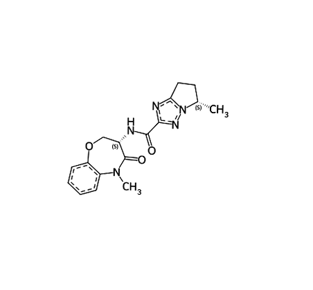 C[C@H]1CCc2nc(C(=O)N[C@H]3COc4ccccc4N(C)C3=O)nn21